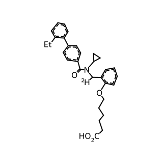 [2H]C(c1ccccc1OCCCCCC(=O)O)N(C(=O)c1ccc(-c2ccccc2CC)cc1)C1CC1